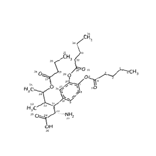 CCCCC(=O)Oc1ccc(C(C(C)C(C)OC(=O)CCC)[C@H](N)C(=O)O)cc1OC(=O)CCCC